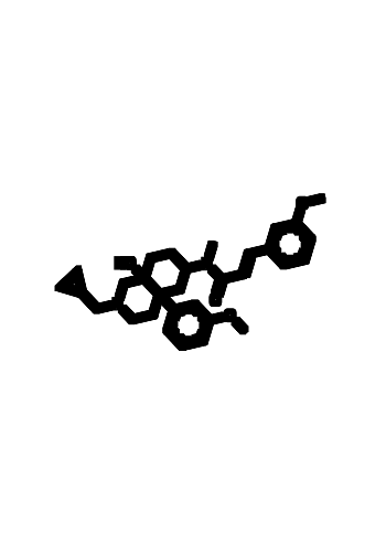 COc1cccc(/C=C/C(=O)N(C)C2CCC3(O)CN(CC4CC4)CCC3(c3cccc(OC)c3)C2)c1